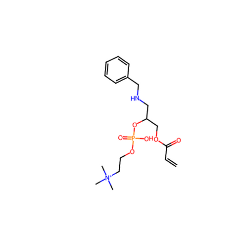 C=CC(=O)OCC(CNCc1ccccc1)OP(=O)(O)OCC[N+](C)(C)C